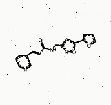 O=C(/C=C/c1cccnc1)NCc1cc(-c2ccco2)on1